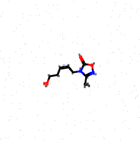 Cc1noc(=O)n1C/C=C\CCO